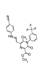 COC(=O)c1nc(/C=N/Nc2ccc(C#N)cc2)c(C)n(-c2cccc(C(F)(F)F)c2)c1=O